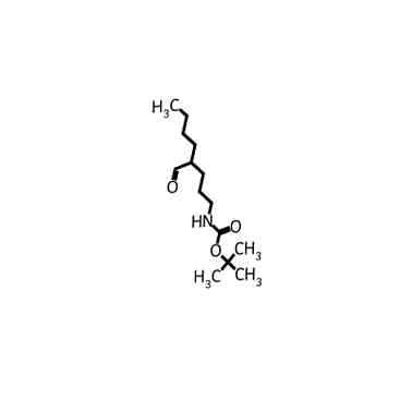 CCCCC(C=O)CCCNC(=O)OC(C)(C)C